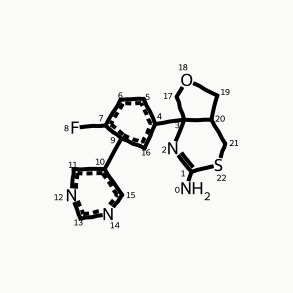 NC1=NC2(c3ccc(F)c(-c4cncnc4)c3)COCC2CS1